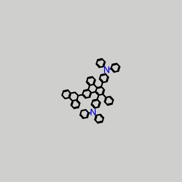 C1=CCCC(N(c2ccccc2)c2ccc(-c3c(-c4ccccc4)cc(-c4ccc(N(c5ccccc5)c5ccccc5)cc4)c4c5ccccc5c5cc(C6CC7=C(CCC=C7)c7ccccc76)ccc5c34)cc2)=C1